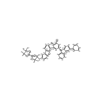 CC1(C)OB(B2OC(C)(C)C(C)(Cc3ccc4oc5c(ccc6sc7c(Cl)cc(-n8c9ccccc9c9cc(-c%10ccccc%10)ccc98)cc7c65)c4c3)O2)OC1(C)C